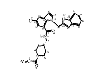 COC(=O)[C@H]1CC[C@H](CNC(=O)c2cc(Cl)cc3ccn(Cc4cc5ccccc5o4)c23)CC1